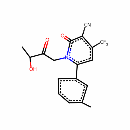 Cc1cccc(-c2cc(C(F)(F)F)c(C#N)c(=O)n2CC(=O)C(C)O)c1